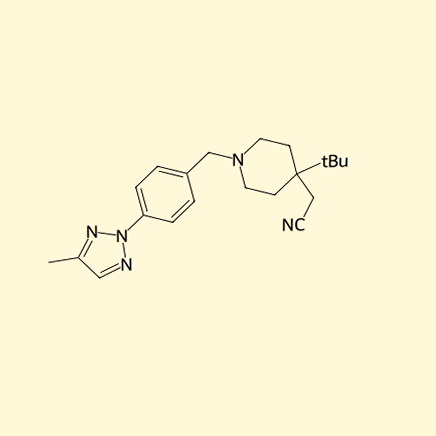 Cc1cnn(-c2ccc(CN3CCC(CC#N)(C(C)(C)C)CC3)cc2)n1